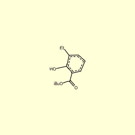 CCc1cccc(C(=O)OCC(C)C)c1O